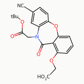 CC(C)(C)OC(=O)CN1C(=O)c2c(OCC(=O)O)cccc2Oc2ccc(C#N)cc21